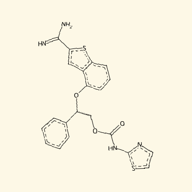 N=C(N)c1cc2c(OC(COC(=O)Nc3nccs3)c3ccccc3)cccc2s1